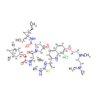 C=C[C@@H]1CC1(NC(=O)[C@@H]1C[C@@H](Oc2cc(-c3csc(NC(C)C)n3)nc3c(Cl)c(OCCN(C)CCN(C)CC)ccc23)CN1C(=O)[C@@H](NC(=O)O[C@@H]1C[C@@H]2C[C@@H]2C1)C(C)(C)C)C(=O)O